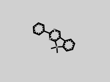 C[Si]1(C)c2ccccc2-c2cnc(-c3ccccc3)nc21